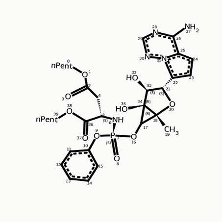 CCCCCOC(=O)C[C@H](N[P@@](=O)(Oc1ccccc1)OC1[C@@]2(C)O[C@@H](c3ccc4c(N)ncnn34)[C@H](O)[C@@]12O)C(=O)OCCCCC